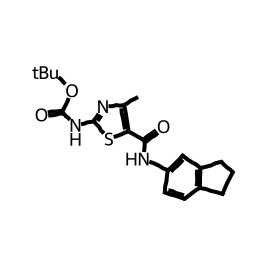 Cc1nc(NC(=O)OC(C)(C)C)sc1C(=O)Nc1ccc2c(c1)CCC2